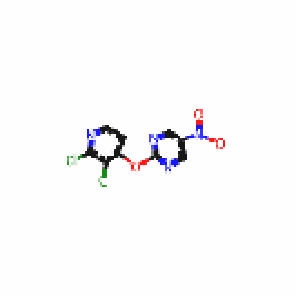 O=[N+]([O-])c1cnc(Oc2ccnc(Cl)c2Cl)nc1